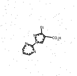 CCc1nn(-c2ncccn2)cc1C(=O)O